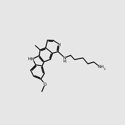 COc1ccc2[nH]c3c(C)c4ccnc(NCCCCCN)c4cc3c2c1